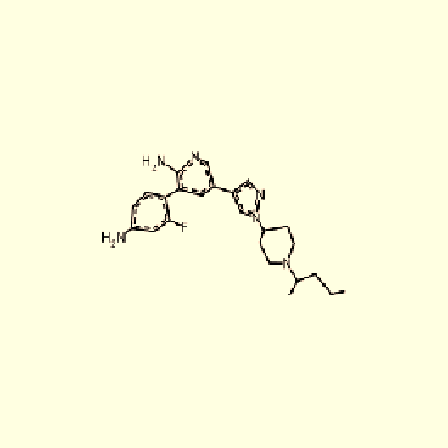 CCCC(C)N1CCC(n2cc(-c3cnc(N)c(-c4ccc(N)cc4F)c3)cn2)CC1